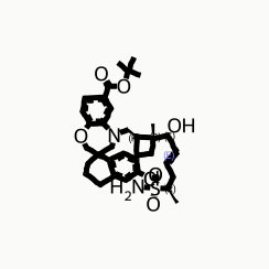 C[C@H](C/C=C/[C@H](O)[C@]1(C)CC[C@H]1CN1CC2(CCCc3cc(Cl)ccc32)COc2ccc(C(=O)OC(C)(C)C)cc21)S(N)(=O)=O